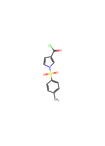 Cc1ccc(S(=O)(=O)n2ccc(C(=O)Cl)c2)cc1